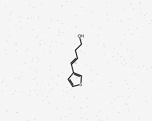 OCC/C=C/c1ccsc1